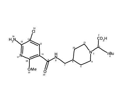 CCCCC(C(=O)O)N1CCC(CNC(=O)c2cc(Cl)c(N)nc2OC)CC1